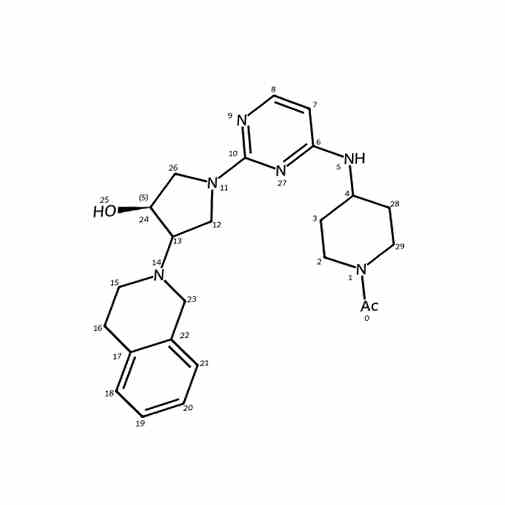 CC(=O)N1CCC(Nc2ccnc(N3CC(N4CCc5ccccc5C4)[C@@H](O)C3)n2)CC1